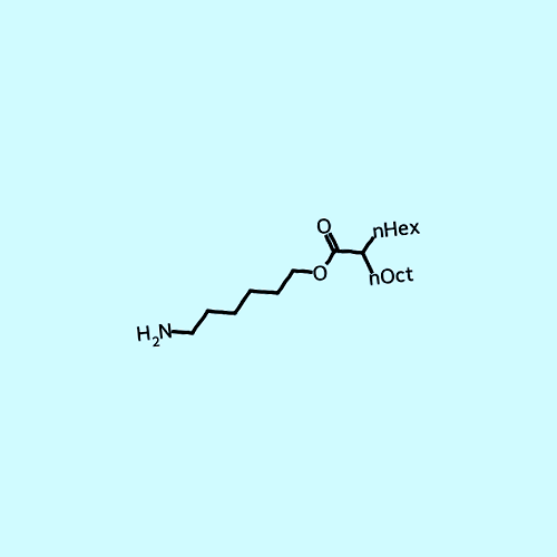 CCCCCCCCC(CCCCCC)C(=O)OCCCCCCN